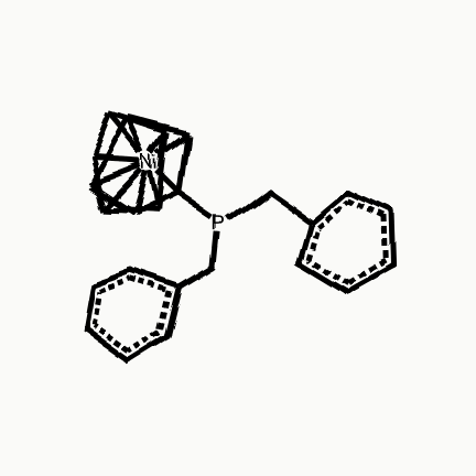 c1ccc(CP(Cc2ccccc2)[C]23[CH]4[CH]5[CH]6[CH]2[Ni]56432789[CH]3[CH]2[CH]7[CH]8[CH]39)cc1